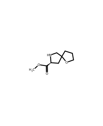 COC(=O)[C@@H]1CC2(CCCO2)CN1